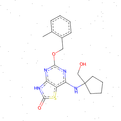 Cc1ccccc1COc1nc(NC2(CO)CCCC2)c2sc(=O)[nH]c2n1